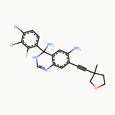 CC1(C#Cc2cc3c(cc2N)C(N)(c2ccc(Cl)c(Cl)c2F)NC=N3)CCOC1